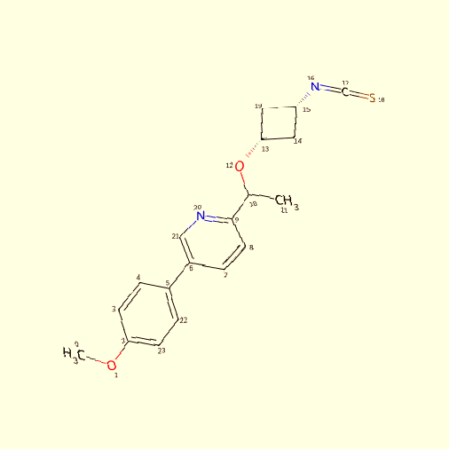 COc1ccc(-c2ccc(C(C)O[C@H]3C[C@@H](N=C=S)C3)nc2)cc1